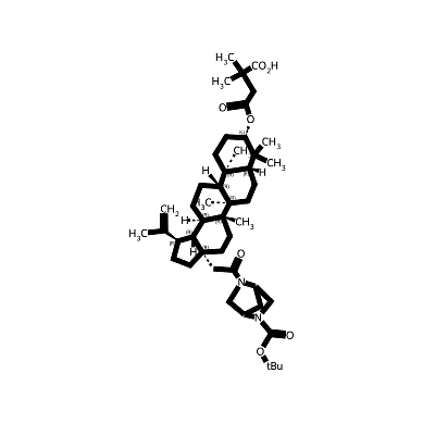 C=C(C)[C@@H]1CC[C@]2(CC(=O)N3CC4CC3CN4C(=O)OC(C)(C)C)CC[C@]3(C)[C@H](CC[C@@H]4[C@@]5(C)CC[C@H](OC(=O)CC(C)(C)C(=O)O)C(C)(C)[C@@H]5CC[C@]43C)[C@@H]12